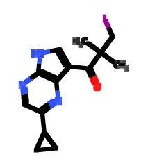 CC(C)(CI)C(=O)c1c[nH]c2ncc(C3CC3)nc12